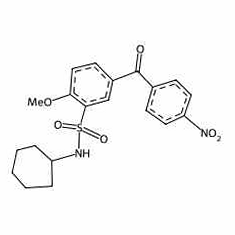 COc1ccc(C(=O)c2ccc([N+](=O)[O-])cc2)cc1S(=O)(=O)NC1CCCCC1